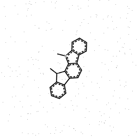 CC1c2ccccc2-c2ccc3c4ccccc4n(C)c3c21